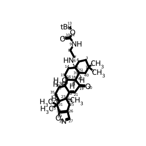 CC1(C)CC[C@]2(NCCNC(=O)OC(C)(C)C)CC[C@]3(C)[C@H](C(=O)C=C4[C@@]5(C)Cc6cnoc6C(C)(C)[C@@H]5CC[C@]43C)[C@@H]2C1